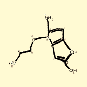 Nc1cc2oc(O)cc2n1OCCO